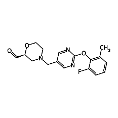 Cc1cccc(F)c1Oc1ncc(CN2CCO[C@H](C=O)C2)cn1